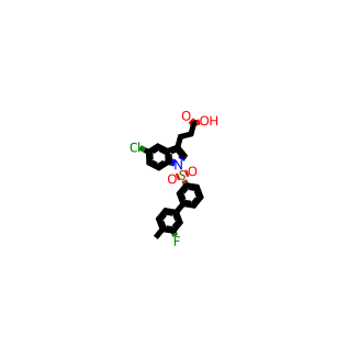 Cc1ccc(-c2cccc(S(=O)(=O)n3cc(CCC(=O)O)c4cc(Cl)ccc43)c2)cc1F